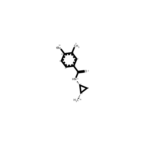 Cc1cc(C(=O)N[C@@H]2C[C@@H]2C)ccc1C(C)(C)C